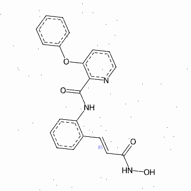 O=C(/C=C/c1ccccc1NC(=O)c1ncccc1Oc1ccccc1)NO